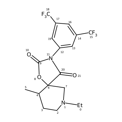 CCN1CCC(C)C2(C1)OC(=O)N(c1cc(C(F)(F)F)cc(C(F)(F)F)c1)C2=O